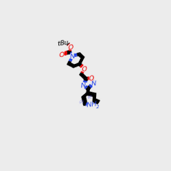 C=C/C=C(\C=C/N)c1noc(COC2CCN(C(=O)OC(C)(C)C)CC2)n1